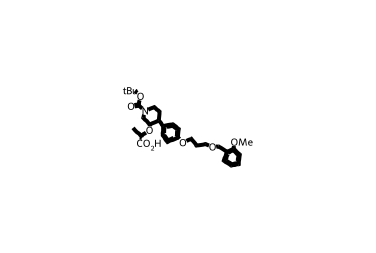 COc1ccccc1COCCCOc1ccc(C2CCN(C(=O)OC(C)(C)C)CC2O[C@H](C)C(=O)O)cc1